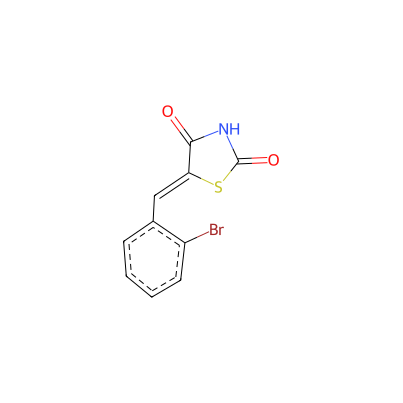 O=C1NC(=O)C(=Cc2ccccc2Br)S1